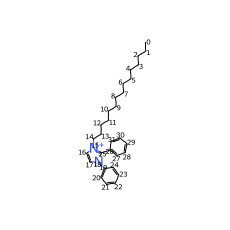 CCCCCCCCCCCCCCC[n+]1ccn(-c2ccccc2)c1-c1ccccc1